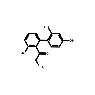 CCC(=O)c1c(O)cccc1-c1ccc(O)cc1O